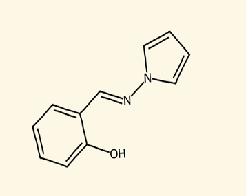 Oc1ccccc1C=Nn1cccc1